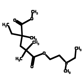 CCN(C)CCOC(=O)C(C)(C)CC(C)(CC)C(=O)OC